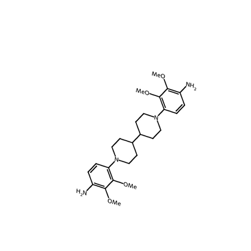 COc1c(N)ccc(N2CCC(C3CCN(c4ccc(N)c(OC)c4OC)CC3)CC2)c1OC